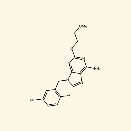 COCCOc1nc(N)c2ncn(Cc3cc(C#N)ccc3F)c2n1